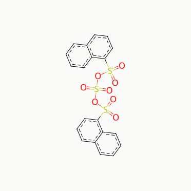 O=S(=O)(OS(=O)(=O)c1cccc2ccccc12)OS(=O)(=O)c1cccc2ccccc12